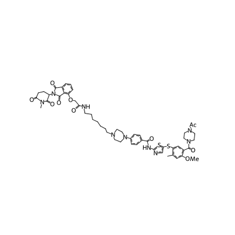 COc1cc(C)c(Sc2cnc(NC(=O)c3ccc(N4CCN(CCCCCCCNC(=O)COc5cccc6c5C(=O)N(C5CCC(=O)N(C)C5=O)C6=O)CC4)cc3)s2)cc1C(=O)N1CCN(C(C)=O)CC1